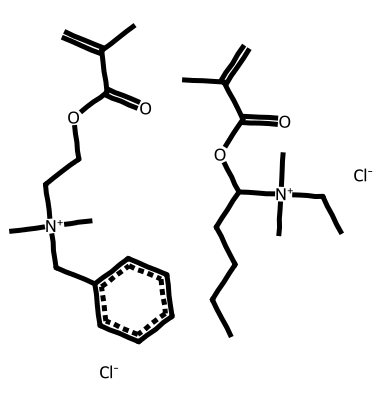 C=C(C)C(=O)OC(CCCC)[N+](C)(C)CC.C=C(C)C(=O)OCC[N+](C)(C)Cc1ccccc1.[Cl-].[Cl-]